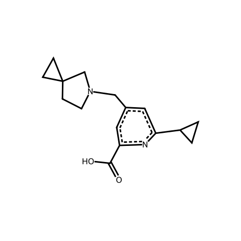 O=C(O)c1cc(CN2CCC3(CC3)C2)cc(C2CC2)n1